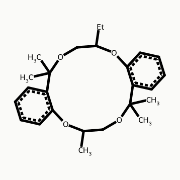 CCC1COC(C)(C)c2ccccc2OC(C)COC(C)(C)c2ccccc2O1